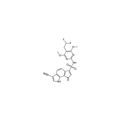 COc1nc(NS(=O)(=O)c2c[nH]c3c2ccc2c(C#N)c[nH]c23)nc(OC)c1CC(F)F